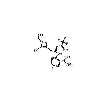 CC[N+]1=CC(C/C(=C/C(=N)C(F)(F)F)Nc2ccc(F)cc2C(C)O)=C1Br